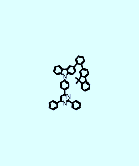 CC1(C)c2ccccc2-c2ccc(-c3ccccc3-c3ccc4c(c3)c3ccccc3n4-c3ccc(-c4cc(-c5ccccc5)nc(-c5ccccc5)n4)cc3)cc21